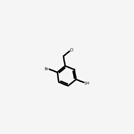 Sc1ccc(Br)c(CCl)c1